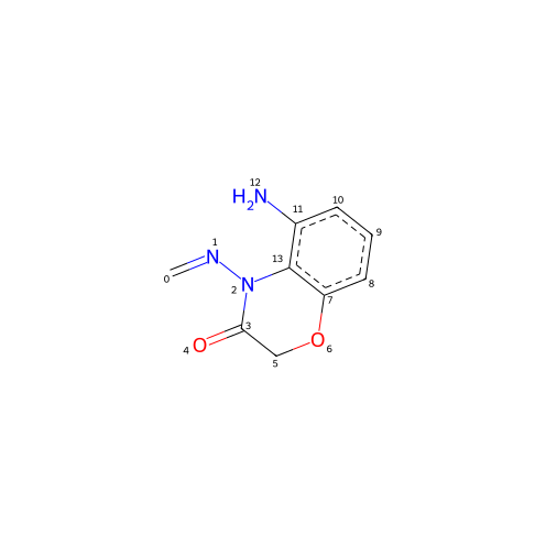 C=NN1C(=O)COc2cccc(N)c21